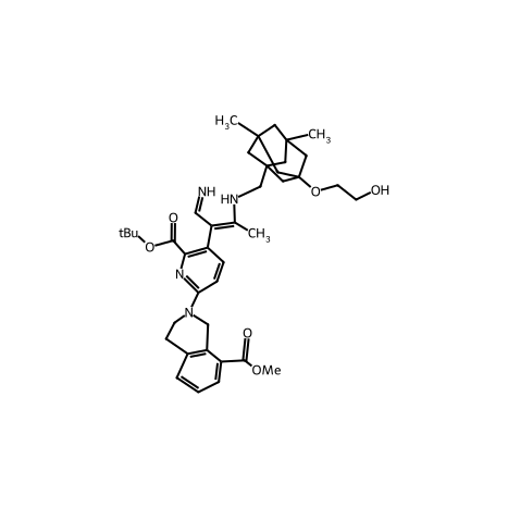 COC(=O)c1cccc2c1CN(c1ccc(/C(C=N)=C(\C)NCC34CC5(C)CC(C)(C3)CC(OCCO)(C5)C4)c(C(=O)OC(C)(C)C)n1)CC2